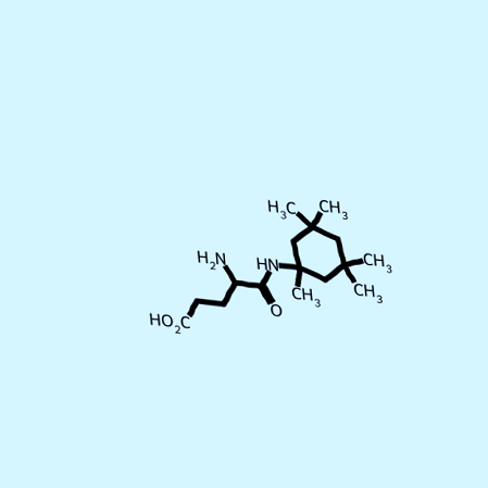 CC1(C)CC(C)(C)CC(C)(NC(=O)C(N)CCC(=O)O)C1